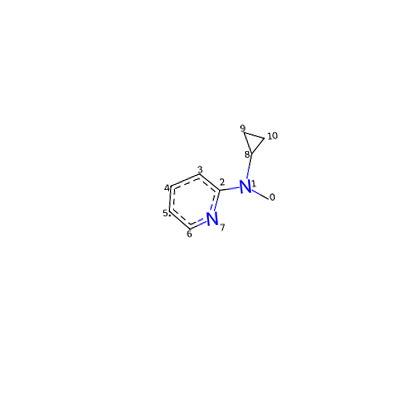 CN(c1cc[c]cn1)C1CC1